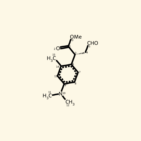 COC(=O)[C@H](CC=O)c1ccc(N(C)C)cc1C